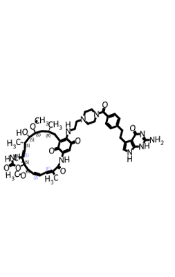 CO[C@H]1/C=C\C=C(/C)C(=O)NC2=CC(=O)C(NCCN3CCN(C(=O)c4ccc(CCc5c[nH]c6[nH]c(N)nc(=O)c56)cc4)CC3)=C(C[C@@H](C)C[C@H](OC)[C@@H](O)[C@@H](C)/C=C(\C)[C@@H]1OC(N)=O)C2=O